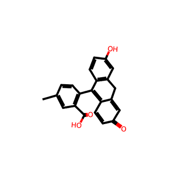 Cc1ccc(C2=C3C=CC(=O)C=C3Cc3cc(O)ccc32)c(C(=O)O)c1